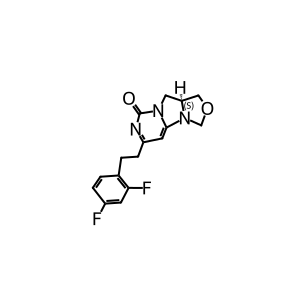 O=c1nc(CCc2ccc(F)cc2F)cc2n1C[C@H]1COCN21